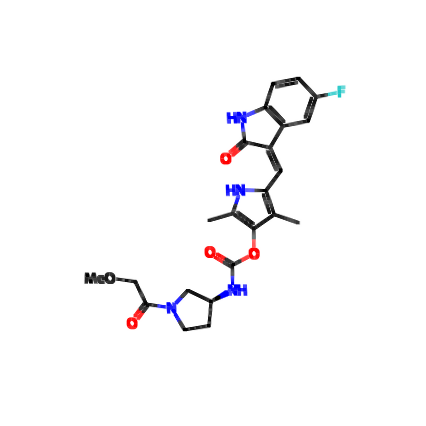 COCC(=O)N1CC[C@H](NC(=O)Oc2c(C)[nH]c(/C=C3\C(=O)Nc4ccc(F)cc43)c2C)C1